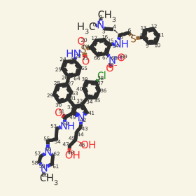 CN(C)CC[C@H](CSc1ccccc1)Nc1ccc(S(=O)(=O)Nc2ccc(-c3cccc(-c4c(-c5ccc(Cl)cc5)cn(CC[C@H](O)CO)c4C(=O)NCCCN4CCN(C)CC4)c3)cc2)cc1[N+](=O)[O-]